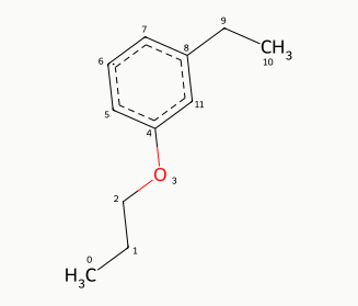 CCCOc1c[c]cc(CC)c1